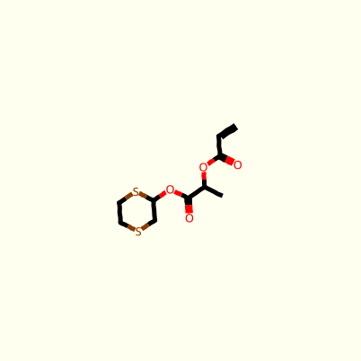 C=CC(=O)OC(C)C(=O)OC1CSCCS1